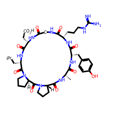 CC(C)C[C@@H]1NC(=O)[C@H](CC(=O)O)NC(=O)CNC(=O)[C@H](CCCNC(=N)N)NC(=O)[C@H](Cc2ccc(O)cc2)NC(=O)[C@H](C)NC(=O)[C@@H]2CCCN2C(=O)[C@H]2CCCN2C1=O